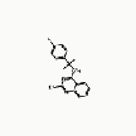 CC(C)(Nc1nc(Cl)nc2ccccc12)c1ccc(F)cc1